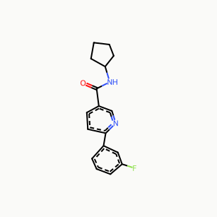 O=C(NC1CCCC1)c1ccc(-c2cccc(F)c2)nc1